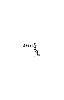 CC1=NC(C)(C)CN1c1ccc(-c2ccc3c(c2)Oc2cccc4c2B3c2ccc(-c3ccc(N5CC(C)(C)N=C5C)nc3)cc2O4)cn1